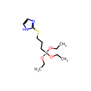 CCO[Si](CCCSc1ncc[nH]1)(OCC)OCC